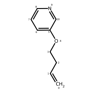 C=CCCOc1cccnc1